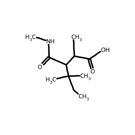 CCC(C)(C)C(C(=O)NC)C(C)C(=O)O